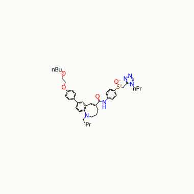 CCCCOCCOc1ccc(-c2ccc3c(c2)C=C(C(=O)Nc2ccc([S+]([O-])Cc4nncn4CCC)cc2)CCCN3CC(C)C)cc1